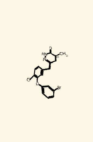 C[C@H]1CC(Cc2ccc(Cl)c(Oc3cccc(Br)c3)c2)=NNC1=O